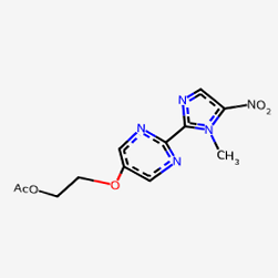 CC(=O)OCCOc1cnc(-c2ncc([N+](=O)[O-])n2C)nc1